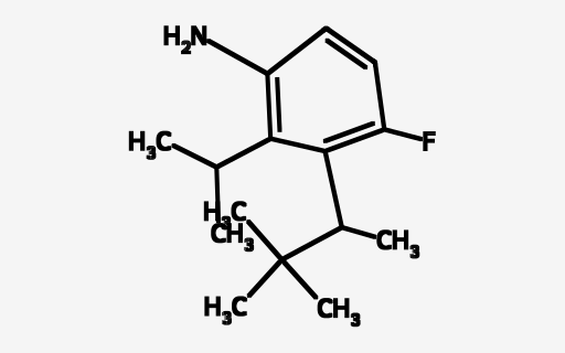 CC(C)c1c(N)ccc(F)c1C(C)C(C)(C)C